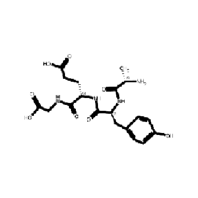 C[C@H](N)C(=O)N[C@@H](Cc1ccc(O)cc1)C(=O)N[C@@H](CCC(=O)O)C(=O)NCC(=O)O